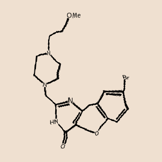 COCCN1CCN(Cc2nc3c(oc4ccc(Br)cc43)c(=O)[nH]2)CC1